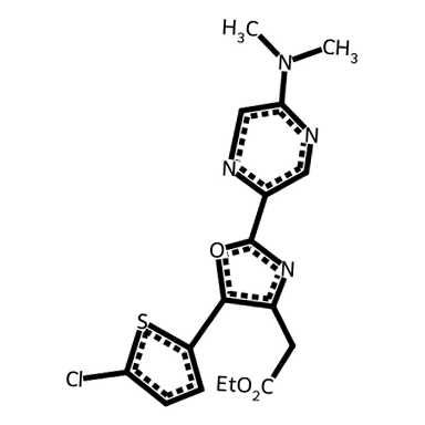 CCOC(=O)Cc1nc(-c2cnc(N(C)C)cn2)oc1-c1ccc(Cl)s1